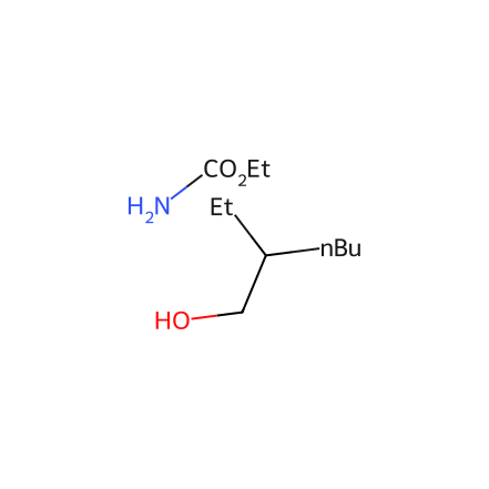 CCCCC(CC)CO.CCOC(N)=O